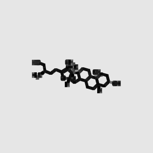 CC1=C(CC[C@@H](C)CO)O[C@H]2CC3C4CC[C@H]5C[C@@H](O)CC[C@]5(C)C4CC[C@]3(C)[C@@H]12